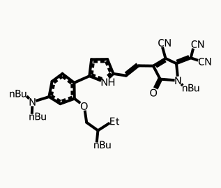 CCCCC(CC)COc1cc(N(CCCC)CCCC)ccc1-c1ccc(/C=C/C2=C(C#N)C(=C(C#N)C#N)N(CCCC)C2=O)[nH]1